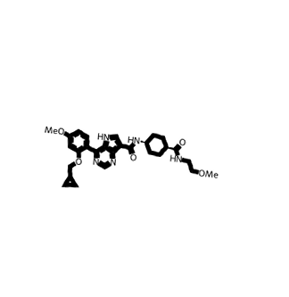 COCCNC(=O)[C@H]1CC[C@H](NC(=O)c2c[nH]c3c(-c4ccc(OC)cc4OCC4CC4)ncnc23)CC1